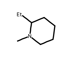 CCC1CCCCN1C